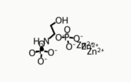 NCCO.O=P([O-])([O-])[O-].O=P([O-])([O-])[O-].[Zn+2].[Zn+2].[Zn+2]